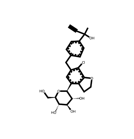 C#CC(C)(O)c1ccc(Cc2cc([C@@H]3O[C@H](CO)[C@@H](O)[C@H](O)[C@H]3O)c3c(c2Cl)OCC3)cc1